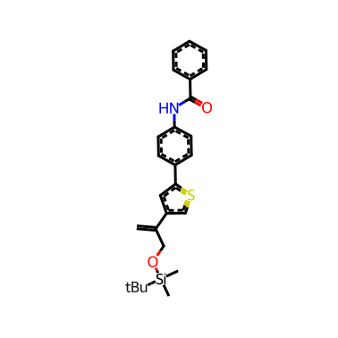 C=C(CO[Si](C)(C)C(C)(C)C)c1csc(-c2ccc(NC(=O)c3ccccc3)cc2)c1